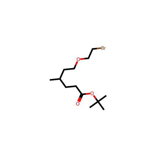 CC(CCOCCBr)CCC(=O)OC(C)(C)C